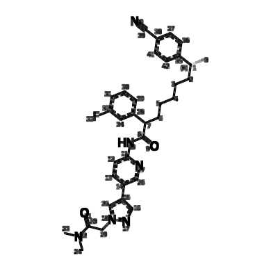 C[C@H](CCCCCC(C(=O)Nc1ccc(-c2cnn(CC(=O)N(C)C)c2)cn1)c1cccc(F)c1)c1ccc(C#N)cc1